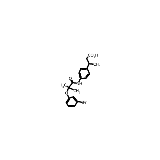 CC(C)c1cccc(OC(C)(C)C(=O)Nc2ccc(C(C)CC(=O)O)cc2)c1